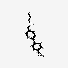 C=CCOCc1ccc(-c2ccc(O)cc2)nc1